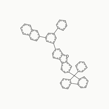 c1ccc(-c2cc(-c3ccc4ccccc4c3)cc(-c3ccc4c(c3)oc3cc(C5(c6ccccc6)c6ccccc6-c6ccccc65)ccc34)c2)cc1